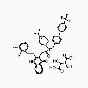 CC(C)N1CCC(N(Cc2ccc(-c3ccc(C(F)(F)F)cc3)cc2)C(=O)Cc2c(CCc3cccc(F)c3F)[nH]c3ncccc3c2=O)CC1.O=C(O)C(O)C(O)C(=O)O